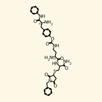 NC(=O)C(CSC1CC(=O)N(Cc2ccccc2)C1=O)NC(=O)[C@@H](N)CCNC(=O)Oc1ccc(C[C@H](N)C(=O)Nc2ccccc2)cc1